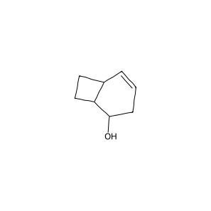 OC1CC=CC2CCC12